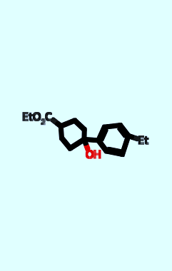 CCOC(=O)C1CCC(O)(c2ccc(CC)cc2)CC1